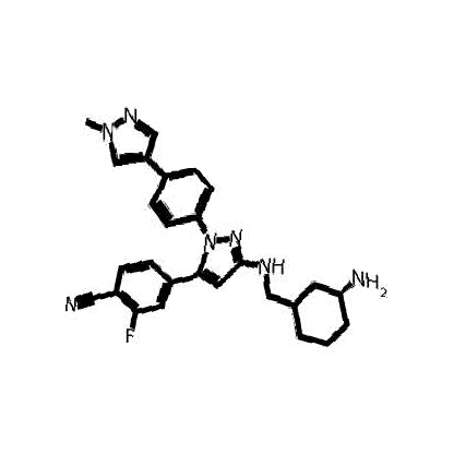 Cn1cc(-c2ccc(-n3nc(NCC4CCC[C@H](N)C4)cc3-c3ccc(C#N)c(F)c3)cc2)cn1